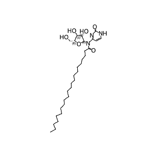 CCCCCCCCCCCCCCCCCCCCCC(=O)N(c1cc[nH]c(=O)n1)[C@@H]1O[C@H](CO)[C@@H](O)[C@@H]1O